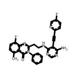 Cc1ccc(F)c2nc(CCNc3ncnc(N)c3C#Cc3ccc(F)cn3)n(-c3ccccc3)c(=O)c12